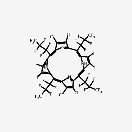 FC(F)(F)C(F)(F)C(F)(F)c1c2nc(c(C(F)(F)C(F)(F)C(F)(F)F)c3[nH]c(c(I)c3I)c(C(F)(F)C(F)(F)C(F)(F)F)c3nc(c(C(F)(F)C(F)(F)C(F)(F)F)c4[nH]c1c(I)c4I)C(Cl)=C3Cl)C(Cl)=C2Cl